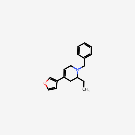 CCC1CC(c2ccoc2)=CCN1Cc1ccccc1